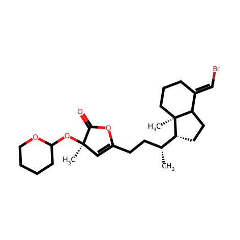 C[C@H](CCC1=C[C@@](C)(OC2CCCCO2)C(=O)O1)[C@H]1CCC2C(=CBr)CCC[C@@]21C